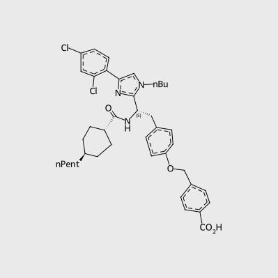 CCCCC[C@H]1CC[C@H](C(=O)N[C@@H](Cc2ccc(OCc3ccc(C(=O)O)cc3)cc2)c2nc(-c3ccc(Cl)cc3Cl)cn2CCCC)CC1